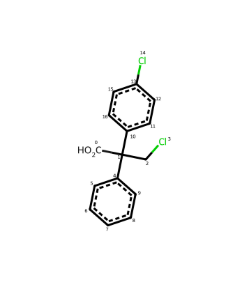 O=C(O)C(CCl)(c1ccccc1)c1ccc(Cl)cc1